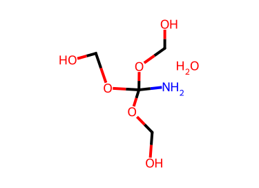 NC(OCO)(OCO)OCO.O